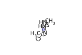 CNC(=S)N/N=C/c1nccc(-c2ccccc2)c1C